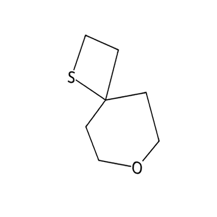 C1CC2(CCO1)CCS2